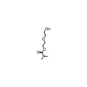 CN(C)C(=O)OCCOCCO